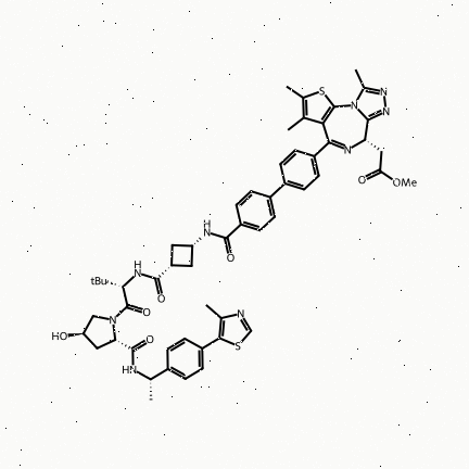 COC(=O)C[C@@H]1N=C(c2ccc(-c3ccc(C(=O)N[C@H]4C[C@@H](C(=O)N[C@H](C(=O)N5C[C@H](O)C[C@H]5C(=O)N[C@@H](C)c5ccc(-c6scnc6C)cc5)C(C)(C)C)C4)cc3)cc2)c2c(sc(C)c2C)-n2c(C)nnc21